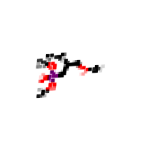 CCCOCC(CP(=O)(OCC)OCC)OC